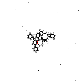 C=C1/C=C\c2c(oc3ccccc23)Cc2ccccc2C12C1=C(C/C=C\CCC1)c1c(N(c3ccccc3)c3ccc(-c4ccccc4)cc3)cccc12